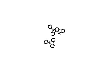 CC1(C)c2ccccc2-c2ccc3c(c21)c1cc(-c2ccc4c5ccccc5n(-c5ccccc5)c4c2)ccc1n3-c1ccccc1